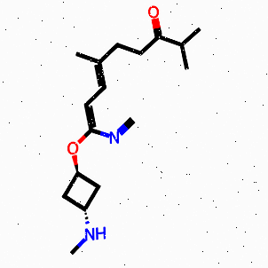 C=N/C(=C\C=C(/C)CCC(=O)C(C)C)O[C@H]1C[C@H](NC)C1